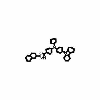 c1ccc(N(c2ccc(-c3nnc(-c4ccc5ccccc5c4)o3)cc2)c2ccc(-n3c4ccccc4c4ccccc43)cc2)cc1